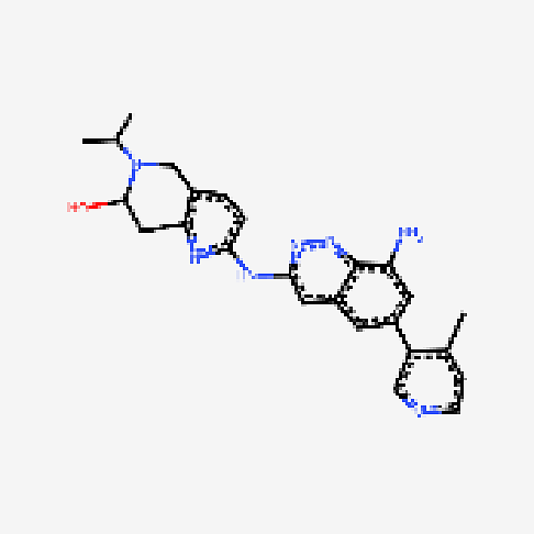 Cc1ccncc1-c1cc(N)c2nnc(Nc3ccc4c(n3)CC(O)N(C(C)C)C4)cc2c1